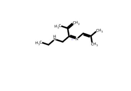 C=C(C)/C(CNCC)=N\C=C(C)C